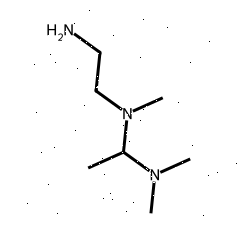 CC(N(C)C)N(C)CCN